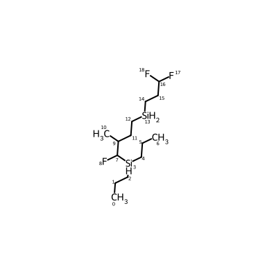 CCC[SiH](CCC)C(F)C(C)CC[SiH2]CCC(F)F